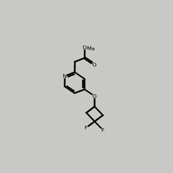 COC(=O)Cc1cc(OC2CC(F)(F)C2)ccn1